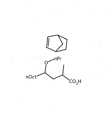 C1=CC2CCC1C2.CCCCCCCCC(CC(C)C(=O)O)OCCC